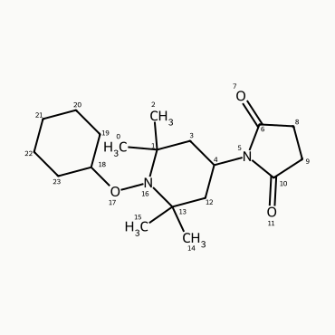 CC1(C)CC(N2C(=O)CCC2=O)CC(C)(C)N1OC1CCCCC1